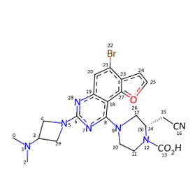 CN(C)C1CN(c2nc(N3CCN(C(=O)O)[C@@H](CC#N)C3)c3c(cc(Br)c4ccoc43)n2)C1